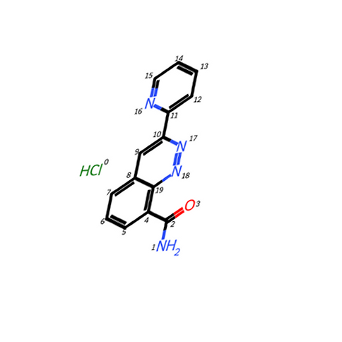 Cl.NC(=O)c1cccc2cc(-c3ccccn3)nnc12